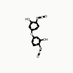 O=C=Nc1ccc(Oc2ccc(N=C=O)c(O)c2)cc1O